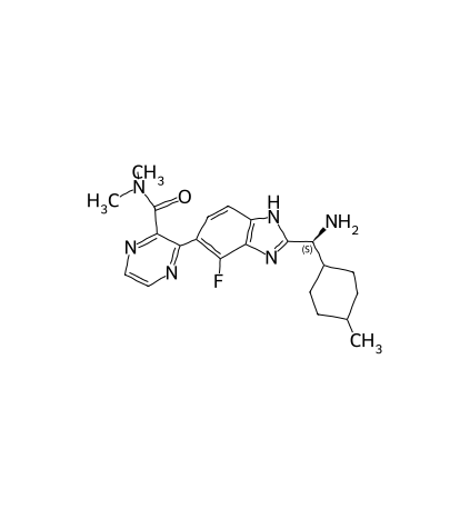 CC1CCC([C@H](N)c2nc3c(F)c(-c4nccnc4C(=O)N(C)C)ccc3[nH]2)CC1